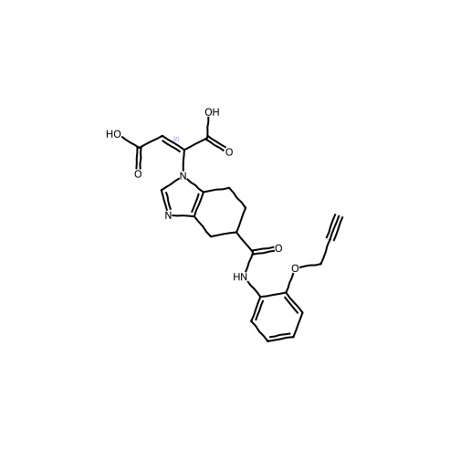 C#CCOc1ccccc1NC(=O)C1CCc2c(ncn2/C(=C\C(=O)O)C(=O)O)C1